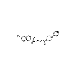 O=C(CCCCS(=O)(=O)c1ccc2cc(Cl)ccc2c1)N1CCN(c2ccncc2)CC1